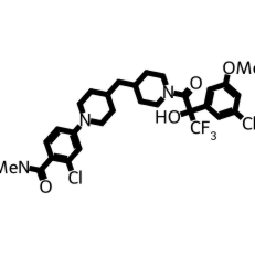 CNC(=O)c1ccc(N2CCC(CC3CCN(C(=O)C(O)(c4cc(Cl)cc(OC)c4)C(F)(F)F)CC3)CC2)cc1Cl